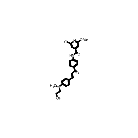 COc1cc(C(=O)Nc2ccc(C(=O)/C=C/c3ccc(N(C)CCO)cc3)cc2)cc(Cl)n1